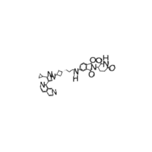 O=C1CCC(N2C(=O)c3ccc(NCCC[C@H]4C[C@H](n5cc(-c6nccc7ccncc67)c(C6CC6)n5)C4)cc3C2=O)C(=O)N1